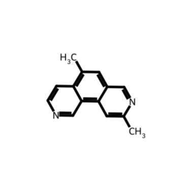 Cc1cc2c(cn1)cc(C)c1ccncc12